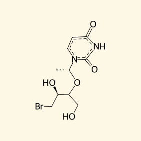 C[C@@H](OC(CO)[C@H](O)CBr)n1ccc(=O)[nH]c1=O